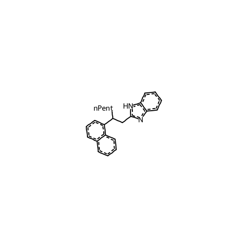 CCCCCC(Cc1nc2ccccc2[nH]1)c1cccc2ccccc12